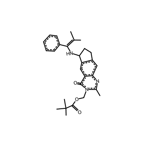 CC(C)=C(NC1CCc2cc3nc(C)n(COC(=O)C(C)(C)C)c(=O)c3cc21)c1ccccc1